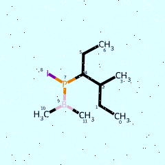 CCC(C)C(CC)P(I)B(C)C